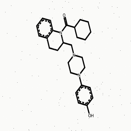 O=C(C1CCCCC1)N1c2ccccc2CCC1CN1CCN(c2ccc(O)cc2)CC1